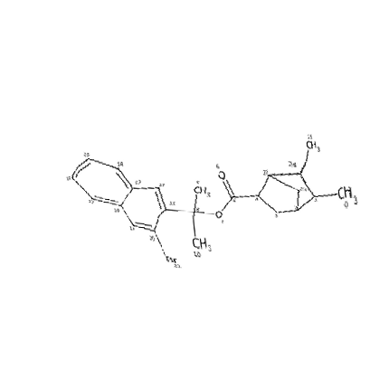 CC1C2CC(C(=O)OC(C)(C)c3cc4ccccc4cc3Br)C(C2)C1C